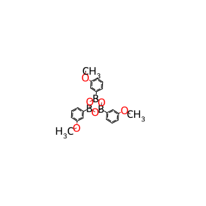 COc1cccc(B2OB(c3cccc(OC)c3)OB(c3cccc(OC)c3)O2)c1